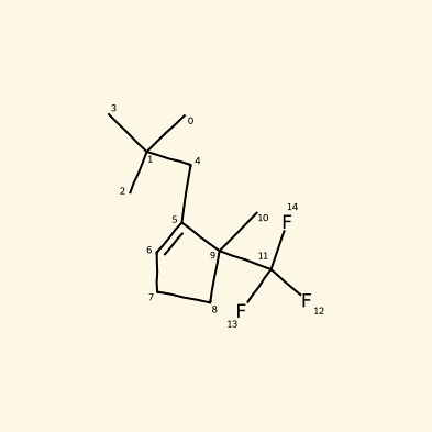 CC(C)(C)CC1=CCCC1(C)C(F)(F)F